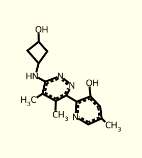 Cc1cnc(-c2nnc(NC3CC(O)C3)c(C)c2C)c(O)c1